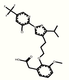 COc1cccc(CC(=O)O)c1OCCCc1cn(-c2ncc(C(F)(F)F)cc2Cl)nc1C(C)C